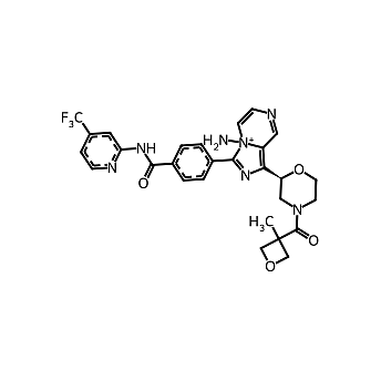 CC1(C(=O)N2CCO[C@H](C3=C4C=NC=C[N+]4(N)C(c4ccc(C(=O)Nc5cc(C(F)(F)F)ccn5)cc4)=N3)C2)COC1